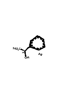 O=C(O)[C@H](O)c1ccccc1.[Ag]